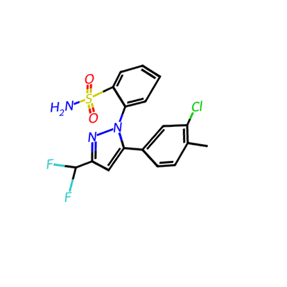 Cc1ccc(-c2cc(C(F)F)nn2-c2ccccc2S(N)(=O)=O)cc1Cl